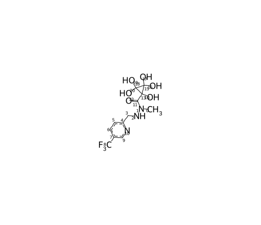 CN(NCc1ccc(C(F)(F)F)cn1)C(=O)C1(O)C(O)(O)C1(O)O